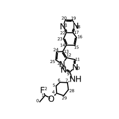 CC(F)O[C@H]1CC[C@H](Nc2ncc3c(-c4ccc5nccnc5c4)ccn3n2)CC1